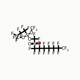 O=S(=O)(C(F)(F)O[Si](OC(F)(F)F)(OC(F)(F)F)C(F)(F)C(F)(F)N(F)F)C(F)(F)C(F)(F)C(F)(F)C(F)(F)C(F)(F)C(F)(F)C(F)(F)F